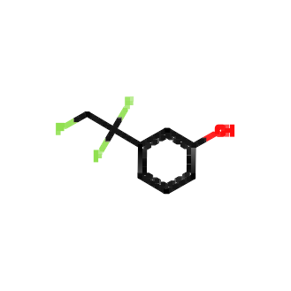 Oc1cccc(C(F)(F)CF)c1